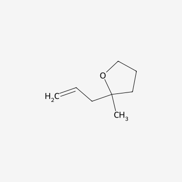 C=CCC1(C)CCCO1